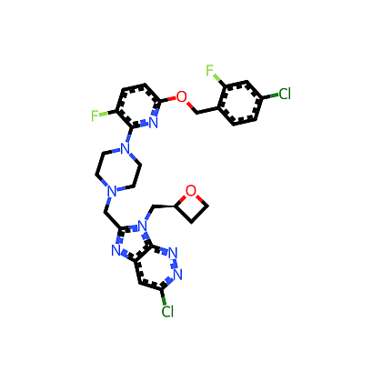 Fc1cc(Cl)ccc1COc1ccc(F)c(N2CCN(Cc3nc4cc(Cl)nnc4n3C[C@@H]3CCO3)CC2)n1